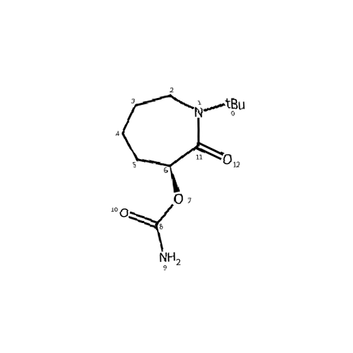 CC(C)(C)N1CCCC[C@H](OC(N)=O)C1=O